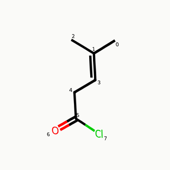 CC(C)=CCC(=O)Cl